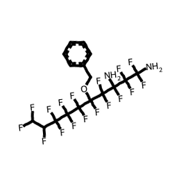 NC(F)(F)C(F)(F)C(N)(F)C(F)(F)C(F)(OCc1ccccc1)C(F)(F)C(F)(F)C(F)(F)C(F)C(F)F